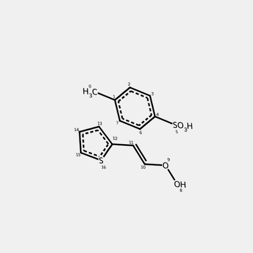 Cc1ccc(S(=O)(=O)O)cc1.OOC=Cc1cccs1